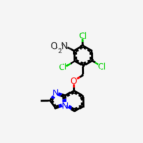 Cc1cn2cccc(OCc3c(Cl)cc(Cl)c([N+](=O)[O-])c3Cl)c2n1